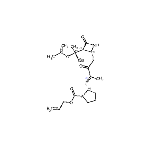 C=CCOC(=O)N1CCC[C@H]1/C=C(\C)C(=O)C[C@H]1NC(=O)[C@@H]1[C@@](C)(O[SiH](C)C)C(C)(C)C